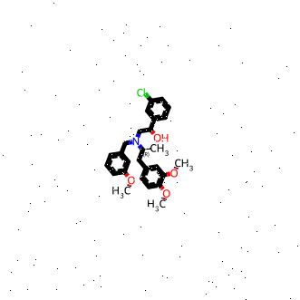 COc1cccc(CN(CC(O)c2cccc(Cl)c2)[C@H](C)Cc2ccc(OC)c(OC)c2)c1